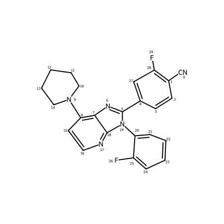 N#Cc1ccc(-c2nc3c(N4CCCCC4)ccnc3n2-c2ccccc2F)cc1F